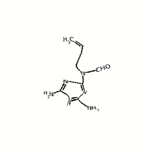 C=CCN(C=O)c1nc(N)nc(N)n1